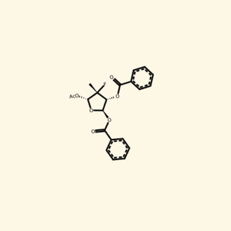 CC(=O)O[C@H]1O[C@H](OC(=O)c2ccccc2)[C@@H](OC(=O)c2ccccc2)[C@@]1(C)F